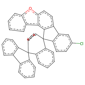 Clc1ccc2c(c1)-c1ccc3oc4ccccc4c3c1C21c2ccccc2C2(c3ccccc3-c3ccccc32)c2ccccc21